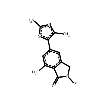 Cc1cc(-c2sc(N)nc2C)cc2c1C(=O)N(C(C)C)C2